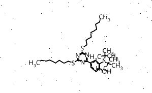 CCCCCCCCSc1nc(SCCCCCCCC)nc(-c2ccc(O)c(N(C(C)(C)C)C(C)(C)C)c2)n1